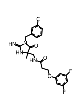 CC1(CNC(=O)CCOc2cc(F)cc(F)c2)NC(=N)N(Cc2cccc(Cl)c2)C1=O